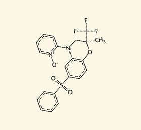 C[C@@]1(C(F)(F)F)CN(c2cccc[n+]2[O-])c2cc(S(=O)(=O)c3ccccc3)ccc2O1